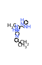 C=C(C)c1cccc(N2CCC(N/C=C(\CNC)C3CNc4ccccc4N3)CC2)c1